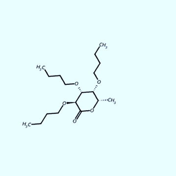 CCCCO[C@@H]1[C@H](OCCCC)[C@H](C)OC(=O)[C@H]1OCCCC